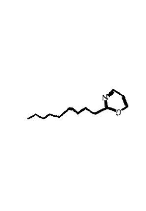 CCCCCCCCCC1N=CC=CO1